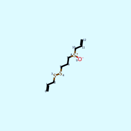 C=CCSSCCC[S+]([O-])CC=C